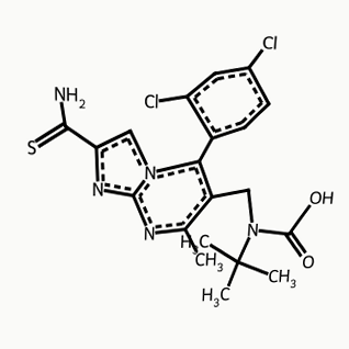 Cc1nc2nc(C(N)=S)cn2c(-c2ccc(Cl)cc2Cl)c1CN(C(=O)O)C(C)(C)C